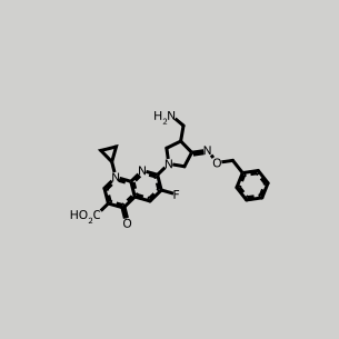 NCC1CN(c2nc3c(cc2F)c(=O)c(C(=O)O)cn3C2CC2)C/C1=N\OCc1ccccc1